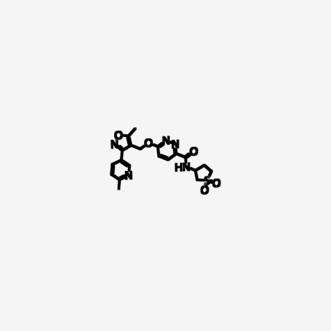 Cc1ccc(-c2noc(C)c2COc2ccc(C(=O)NC3CCS(=O)(=O)C3)nn2)cn1